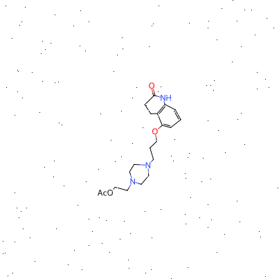 CC(=O)OCCN1CCN(CCCOc2cccc3c2CCC(=O)N3)CC1